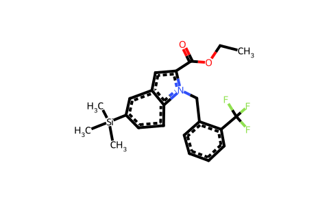 CCOC(=O)c1cc2cc([Si](C)(C)C)ccc2n1Cc1ccccc1C(F)(F)F